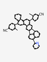 Cc1cc(C#N)ccc1-c1cc2c3cc4c(cc3c(-c3ccc(C#N)cc3C)cc2c2ccccc12)-c1cccc2c(-c3ccccn3)ccc-4c12